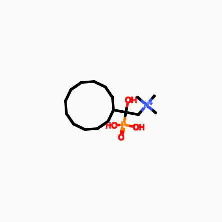 C[N+](C)(C)CC(O)(C1CCCCCCCCCCC1)P(=O)(O)O